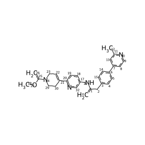 C=C(Cc1ccc(-c2ccnc(C)c2)cc1)Nc1ccc(C2=CCN(C(=C)OC)CC2)nc1